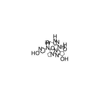 CC(C)c1cc(Nc2nc(N3CCC[C@H]3C(=O)Nc3ccc(O)nc3)nc3c2[C@H](O)C[C@H]3O)n[nH]1